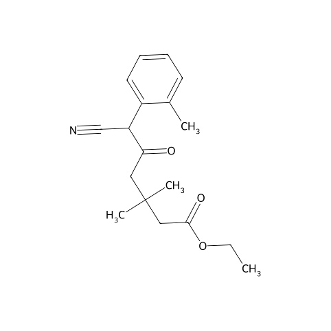 CCOC(=O)CC(C)(C)CC(=O)C(C#N)c1ccccc1C